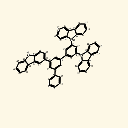 c1ccc(-c2cc(-c3cc(-n4c5ccccc5c5ccccc54)cc(-n4c5ccccc5c5cnccc54)c3)cc(-c3ccc4oc5ccccc5c4c3)c2)cc1